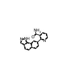 NC(=O)c1cccnc1-c1ccc2ccc3cn[nH]c3c2c1